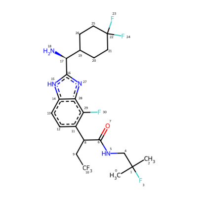 CC(C)(F)CNC(=O)C(CC(F)(F)F)c1ccc2[nH]c([C@@H](N)C3CCC(F)(F)CC3)nc2c1F